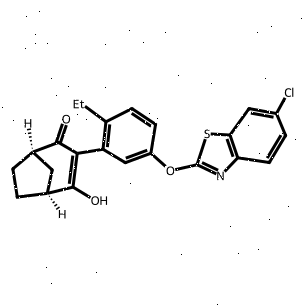 CCc1ccc(Oc2nc3ccc(Cl)cc3s2)cc1C1=C(O)[C@H]2CC[C@H](C2)C1=O